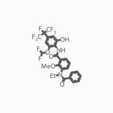 CCN(C(=O)c1ccccc1)c1cccc(C(=O)Nc2c(O)cc(C(F)(C(F)(F)F)C(F)(F)F)cc2OC(F)F)c1OC